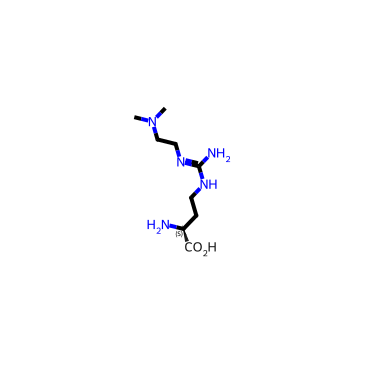 CN(C)CCN=C(N)NCC[C@H](N)C(=O)O